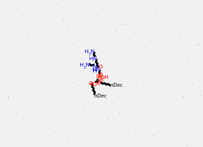 CCCCCCCCCCCCCCCC(=O)OCC(COP(=O)(O)OCCNC(=O)C(CCCNCCCN)NCCCN)OC(=O)CCCCCCCCCCCCCCC